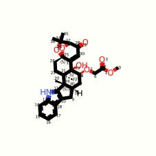 COC(=O)CO[C@H]1C[C@H]2Cc3c([nH]c4ccccc34)[C@]2(C)[C@@]2(C)CC[C@@]34OC(C(=O)C=C3[C@]12O)C(C)(C)O4